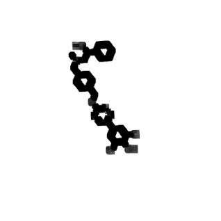 CN(Cc1ccc(COc2ncc(-c3cc(Cl)c(O)c(Cl)c3)nn2)cc1)CC(O)c1ccccc1